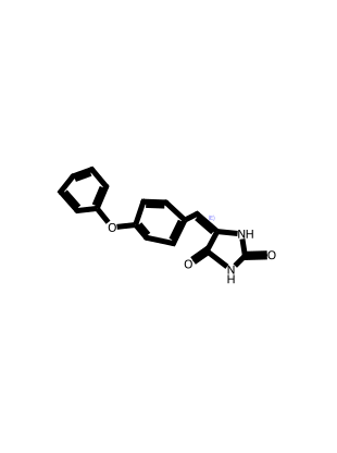 O=C1NC(=O)/C(=C\c2ccc(Oc3ccccc3)cc2)N1